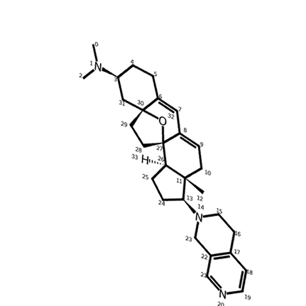 CN(C)[C@H]1CCC2=CC3=CC[C@]4(C)[C@@H](N5CCc6ccncc6C5)CC[C@H]4[C@@]34CC[C@]2(C1)O4